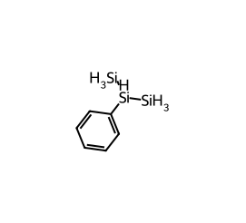 [SiH3][SiH]([SiH3])c1ccccc1